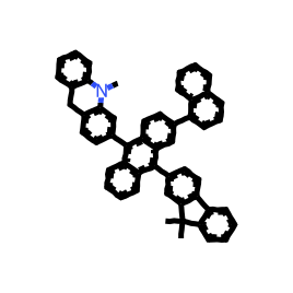 CN1c2ccccc2Cc2ccc(-c3c4ccccc4c(-c4ccc5c(c4)C(C)(C)c4ccccc4-5)c4cc(-c5cccc6ccccc56)ccc34)cc21